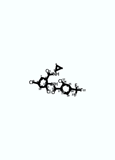 O=C(NC1CC1)c1cc(Cl)cc(Cl)c1NC(=O)c1ncc(C(F)(F)F)cc1Cl